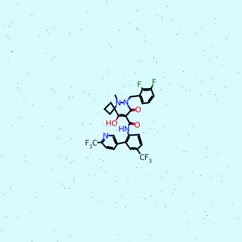 CN1N(Cc2cccc(F)c2F)C(=O)C(C(=O)Nc2ccc(C(F)(F)F)cc2-c2ccc(C(F)(F)F)nc2)=C(O)C12CCC2